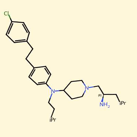 CC(C)CCN(c1ccc(CCc2ccc(Cl)cc2)cc1)C1CCN(C[C@H](N)CC(C)C)CC1